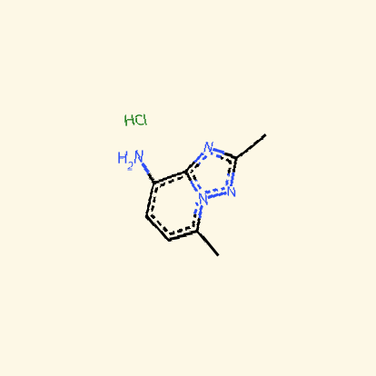 Cc1nc2c(N)ccc(C)n2n1.Cl